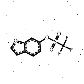 O=S(=O)(Oc1ccc2ccoc2c1)C(F)(F)F